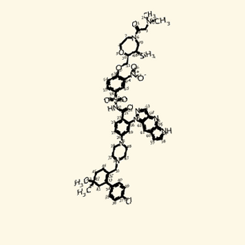 CN(C)CC(=O)N1CCO[C@H](COc2ccc(S(=O)(=O)NC(=O)c3ccc(N4CCN(CC5=C(c6ccc(Cl)cc6)CC(C)(C)CC5)CC4)cc3-n3ncc4nc5[nH]ccc5cc43)cc2[N+](=O)[O-])C([SiH3])C1